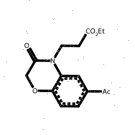 CCOC(=O)CCN1C(=O)COc2ccc(C(C)=O)cc21